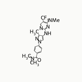 CNc1nc(Nc2cn(-c3ccc(C(=O)N(C)C)cc3)nc2C)ncc1C(F)(F)F